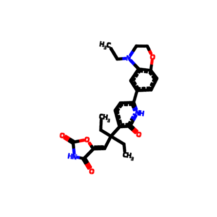 CCN1CCOc2ccc(-c3ccc(C(C=C4OC(=O)NC4=O)(CC)CC)c(=O)[nH]3)cc21